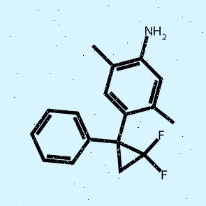 Cc1cc(C2(c3ccccc3)CC2(F)F)c(C)cc1N